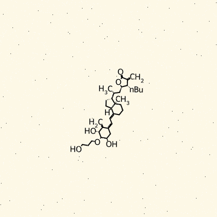 C=C1/C(=C\C=C2/CCC[C@]3(C)[C@@H]([C@H](C)C[C@H]4OC(=O)C(=C)[C@@H]4CCCC)CC[C@@H]23)C[C@@H](O)[C@H](OCCCO)[C@@H]1O